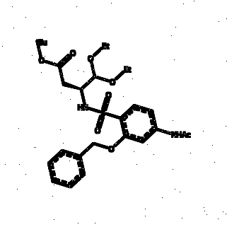 CCOC(OCC)[C@H](CC(=O)OC(C)(C)C)NS(=O)(=O)c1ccc(NC(C)=O)cc1OCc1ccccc1